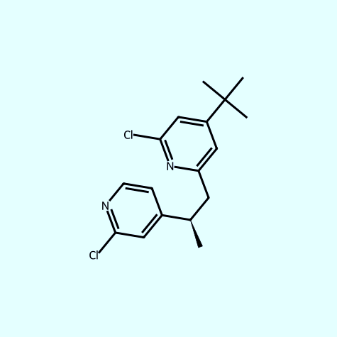 C[C@H](Cc1cc(C(C)(C)C)cc(Cl)n1)c1ccnc(Cl)c1